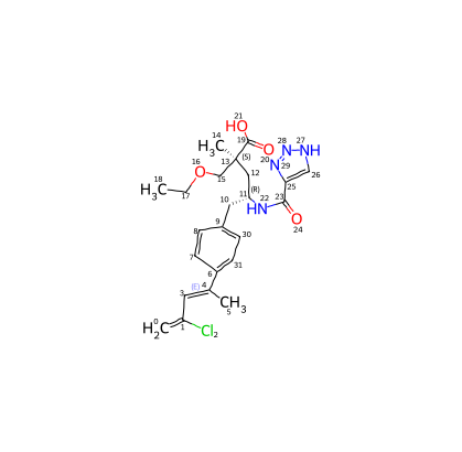 C=C(Cl)/C=C(\C)c1ccc(C[C@H](C[C@@](C)(COCC)C(=O)O)NC(=O)c2c[nH]nn2)cc1